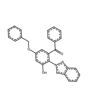 O=C(c1ccccc1)c1cc(OCc2ccccc2)cc(O)c1-n1nc2ccccc2n1